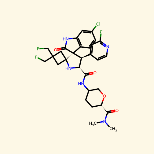 CN(C)C(=O)[C@@H]1CCC(NC(=O)[C@@H]2NC3(CC(CF)(CF)C3)[C@@]3(C(=O)Nc4cc(Cl)ccc43)[C@H]2c2ccnc(Cl)c2)CO1